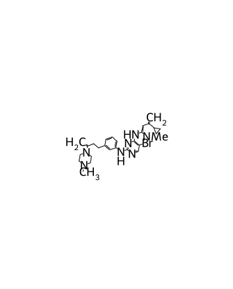 C=C(/C=C(\NC)Nc1nc(Nc2cccc(CCC(=C)N3CCN(C)CC3)c2)ncc1Br)C1CC1